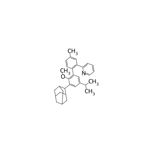 COc1c(-c2ccc(C)cc2-c2ccccn2)cc(C(C)C)cc1C1C2CC3CC(C2)CC1C3